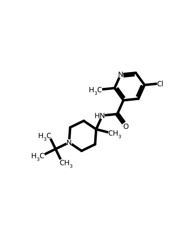 Cc1ncc(Cl)cc1C(=O)NC1(C)CCN(C(C)(C)C)CC1